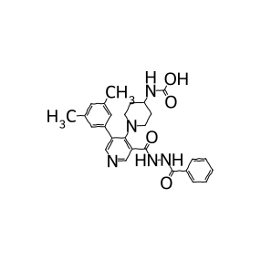 Cc1cc(C)cc(-c2cncc(C(=O)NNC(=O)c3ccccc3)c2N2CCC(NC(=O)O)CC2)c1